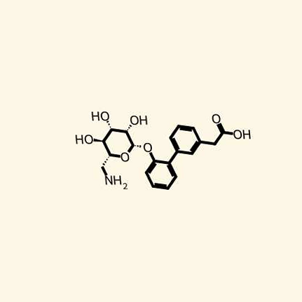 NC[C@H]1O[C@@H](Oc2ccccc2-c2cccc(CC(=O)O)c2)[C@@H](O)[C@@H](O)[C@@H]1O